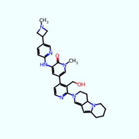 CN1CC(c2ccc(Nc3cc(-c4ccnc(N5C=C6C=C7CCCCN7C6CC5)c4CO)cn(C)c3=O)nc2)C1